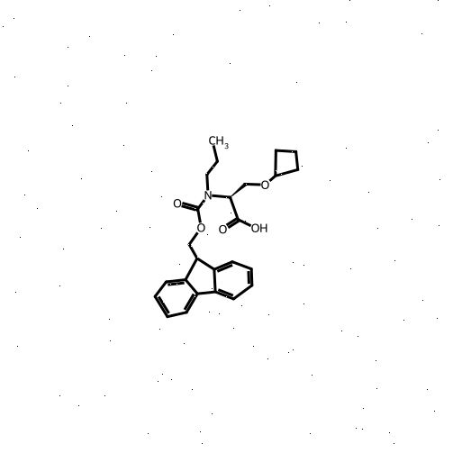 CCCN(C(=O)OCC1c2ccccc2-c2ccccc21)[C@@H](COC1CCC1)C(=O)O